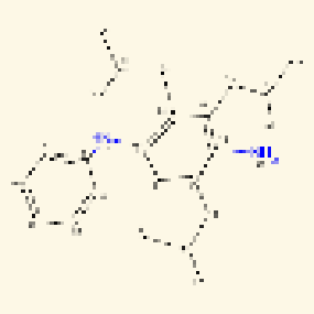 CC(C)Cc1cc(Nc2ccccc2)c(CC(C)C)c(CC(C)C)c1N